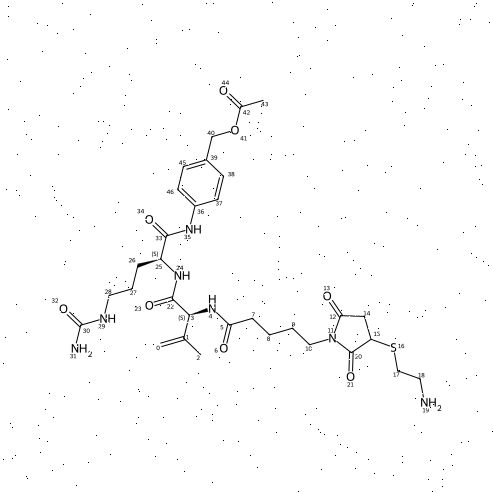 C=C(C)[C@H](NC(=O)CCCCN1C(=O)CC(SCCN)C1=O)C(=O)N[C@@H](CCCNC(N)=O)C(=O)Nc1ccc(COC(C)=O)cc1